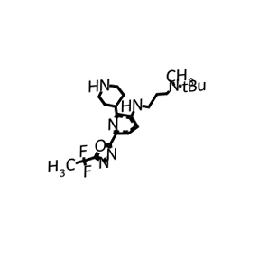 CN(CCCNc1ccc(-c2nnc(C(C)(F)F)o2)nc1C1CCNCC1)C(C)(C)C